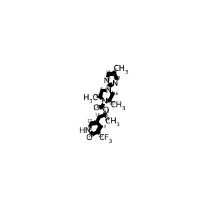 Cc1cnc(N2C[C@H](C)N(C(=O)O[C@@H](C)Cc3c[nH]c(=O)c(C(F)(F)F)c3)[C@@H](C)C2)nc1